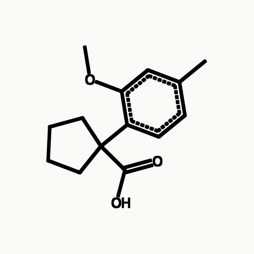 COc1cc(C)ccc1C1(C(=O)O)CCCC1